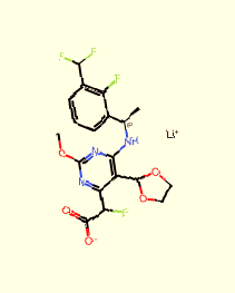 COc1nc(N[C@H](C)c2cccc(C(F)F)c2F)c(C2OCCO2)c(C(F)C(=O)[O-])n1.[Li+]